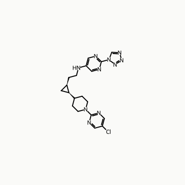 Clc1cnc(N2CCC([C@H]3C[C@H]3CCNc3cnc(-n4cnnn4)nc3)CC2)nc1